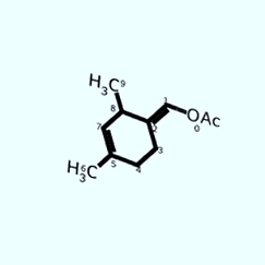 CC(=O)OC=C1CCC(C)=CC1C